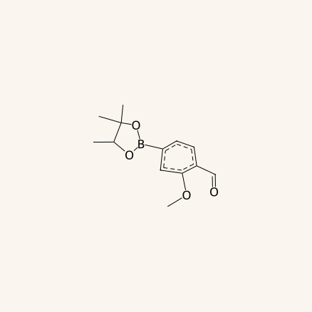 COc1cc(B2OC(C)C(C)(C)O2)ccc1C=O